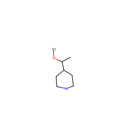 CCOC(C)C1CC[N]CC1